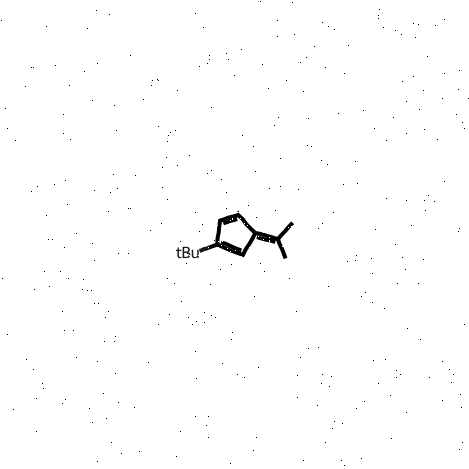 CC(C)=C1[C]=CC(C(C)(C)C)=C1